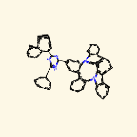 c1ccc(-c2nc(-c3ccc4c(c3)c3ccccc3n3c5ccccc5c5ccc6c7ccccc7n4c6c53)nc(-c3cccc4ccccc34)n2)cc1